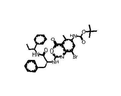 CCC(NC(=O)[C@H](Cc1ccccc1)Nc1nc2c(Br)cc(NC(=O)OC(C)(C)C)c(C)c2c(=O)o1)c1ccccc1